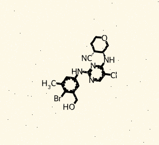 Cc1cc(Nc2ncc(Cl)c(N[C@@H]3COCC[C@H]3C#N)n2)cc(CO)c1Br